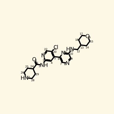 O=C(Nc1cc(-c2cncc(NCC3CCOCC3)n2)c(Cl)cn1)C1CCNCC1